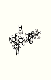 Cc1cc(-c2c(F)cncc2N2CCNCC2)ccc1CNC(=O)c1noc(C2(C)CC2)n1.Cl